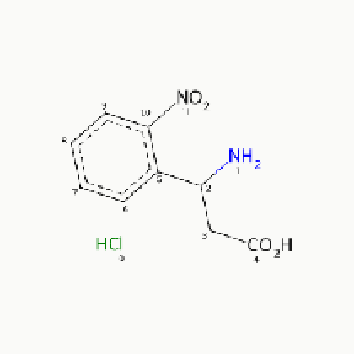 Cl.NC(CC(=O)O)c1ccccc1[N+](=O)[O-]